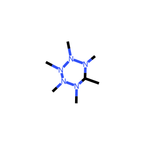 CC1N(C)N(C)N(C)N(C)N1C